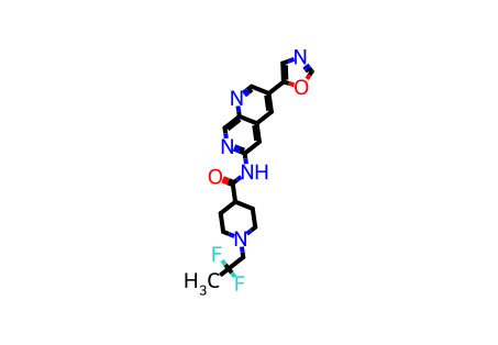 CC(F)(F)CN1CCC(C(=O)Nc2cc3cc(-c4cnco4)cnc3cn2)CC1